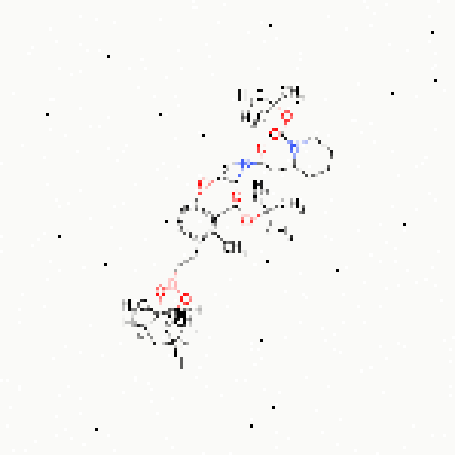 Cc1c(CCB2O[C@@H]3C[C@@H]4C[C@@H](C4(C)C)[C@]3(C)O2)ccc(OC2CN(C(=O)CC3CCCCN3C(=O)OC(C)(C)C)C2)c1C(=O)OC(C)(C)C